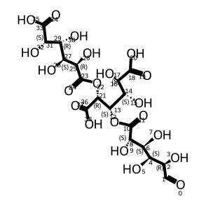 O=C[C@H](O)[C@@H](O)[C@H](O)[C@H](O)C(=O)O[C@@H]([C@@H](O)[C@H](O)C(=O)O)[C@@H](OC(=O)[C@H](O)[C@@H](O)[C@@H](O)[C@H](O)C(=O)O)C(=O)O